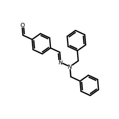 O=Cc1ccc(C=NN(Cc2ccccc2)Cc2ccccc2)cc1